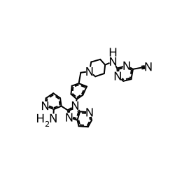 N#Cc1ccnc(NC2CCN(Cc3ccc(-n4c(-c5cccnc5N)nc5cccnc54)cc3)CC2)n1